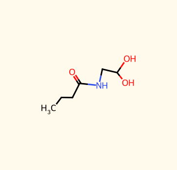 CCCC(=O)NCC(O)O